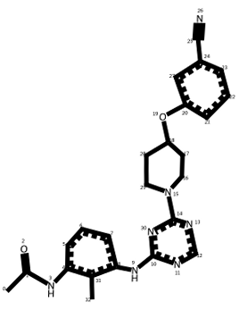 CC(=O)Nc1cccc(Nc2ncnc(N3CCC(Oc4cccc(C#N)c4)CC3)n2)c1C